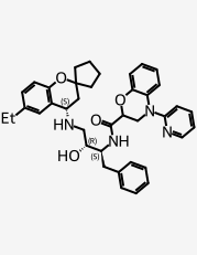 CCc1ccc2c(c1)[C@@H](NC[C@@H](O)[C@H](Cc1ccccc1)NC(=O)C1CN(c3ccccn3)c3ccccc3O1)CC1(CCCC1)O2